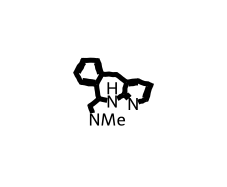 CNCC1Nc2ncccc2Cc2ccccc21